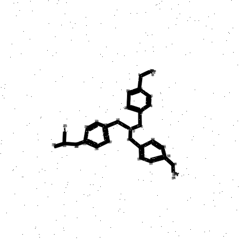 CC(C)Cc1ccc(CN(Cc2ccc(CC(C)C)cc2)Cc2ccc(CC(C)I)cc2)cc1